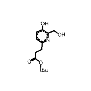 CC(C)(C)OC(=O)CCc1ccc(O)c(CO)n1